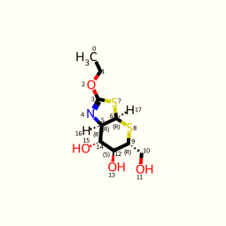 CCOC1=N[C@H]2[C@@H](S1)S[C@H](CO)[C@@H](O)[C@@H]2O